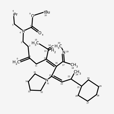 C=C(CCN(CC(C)C)C(=O)OC(C)(C)C)C/C(C(=C)C)=C(C(/C)=N\C)\C(=C/C(C)C1CCCCC1)N1CCCC1